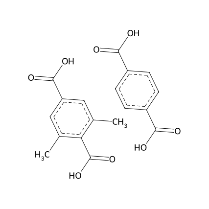 Cc1cc(C(=O)O)cc(C)c1C(=O)O.O=C(O)c1ccc(C(=O)O)cc1